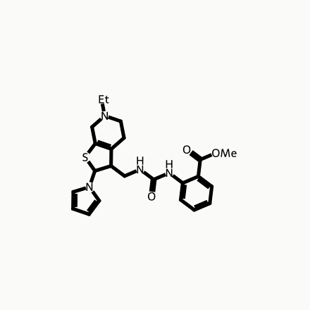 CCN1CCC2=C(C1)SC(n1cccc1)C2CNC(=O)Nc1ccccc1C(=O)OC